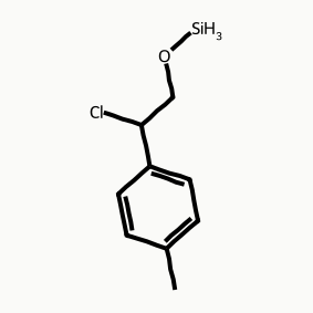 Cc1ccc(C(Cl)CO[SiH3])cc1